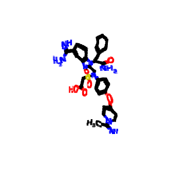 CC(=N)N1CCC(Oc2ccc(N(Cc3nc4cc(C(=N)N)ccc4n3C(C(N)=O)C3CCCCC3)S(=O)(=O)CC(=O)O)cc2)CC1